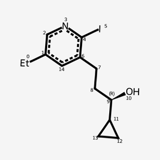 CCc1cnc(I)c(CC[C@@H](O)C2CC2)c1